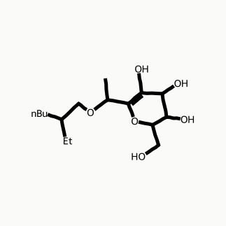 CCCCC(CC)COC(C)C1=C(O)C(O)C(O)C(CO)O1